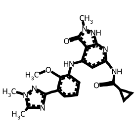 COc1c(Nc2cc(NC(=O)C3CC3)nc3[nH]n(C)c(=O)c23)cccc1-c1nc(C)n(C)n1